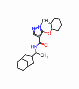 CC(NC(=O)c1cnn(C)c1OC1CCCCC1)C1CC2CCCC(C2)C1